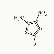 Cc1cc([N+](=O)[O-])c(N)s1